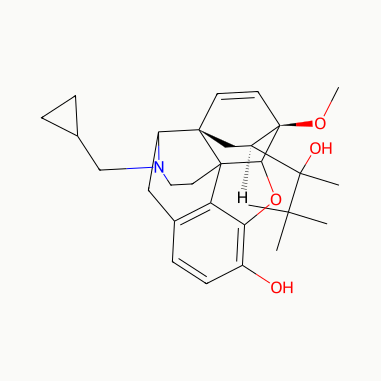 CO[C@]12C=C[C@@]3(C[C@@H]1C(C)(O)C(C)(C)C)C1Cc4ccc(O)c5c4C3(CCN1CC1CC1)C2O5